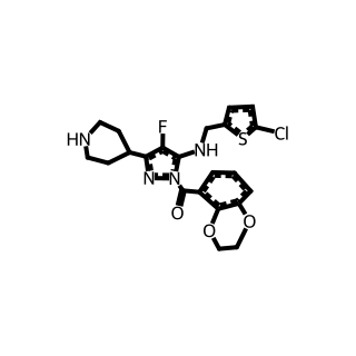 O=C(c1cccc2c1OCCO2)n1nc(C2CCNCC2)c(F)c1NCc1ccc(Cl)s1